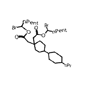 CCCCCC(Br)OC(=O)CC1(CC(=O)OC(Br)CCCCC)CCC(C2CCC(CCC)CC2)CC1